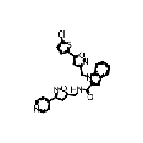 O=C(NCC1CC(c2ccncc2)=NO1)c1cc2ccccc2n1Cc1cc(-c2ccc(Cl)s2)on1